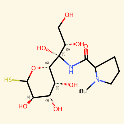 CCC(C)N1CCCC1C(=O)N[C@](O)([C@@H](O)CO)[C@H]1OC(S)[C@H](O)[C@@H](O)[C@H]1O